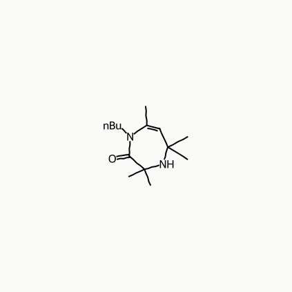 CCCCN1C(=O)C(C)(C)NC(C)(C)C=C1C